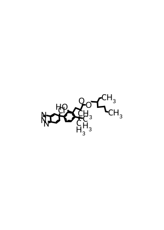 CCCCC(CC)COC(=O)CCc1c(C(C)(C)C)ccc(C2(Cl)C=CC3=NN=NC3=C2)c1O